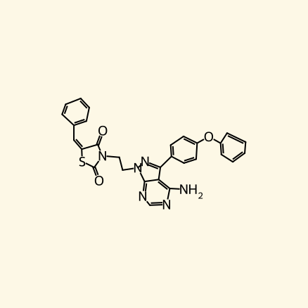 Nc1ncnc2c1c(-c1ccc(Oc3ccccc3)cc1)nn2CCN1C(=O)S/C(=C/c2ccccc2)C1=O